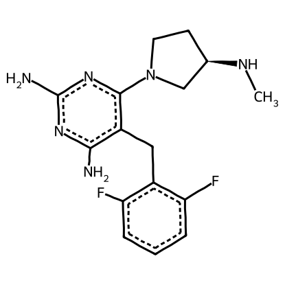 CN[C@@H]1CCN(c2nc(N)nc(N)c2Cc2c(F)cccc2F)C1